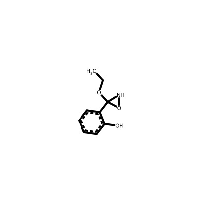 CCOC1(c2ccccc2O)NO1